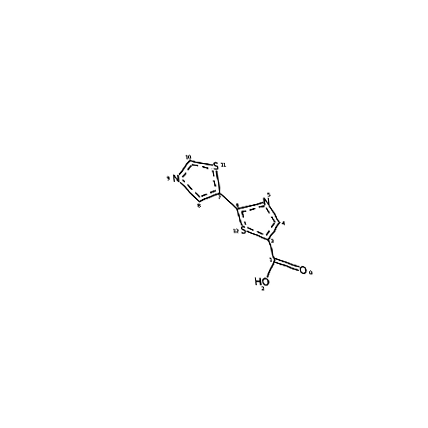 O=C(O)c1cnc(-c2cncs2)s1